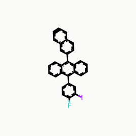 Fc1ccc(-c2c3ccccc3c(-c3ccc4cc#ccc4c3)c3ccccc23)cc1I